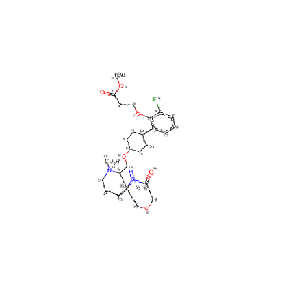 CC(C)(C)OC(=O)CCOc1c(F)cccc1C1CCC(OCC2N(C(=O)O)CCCC23COCC(=O)N3)CC1